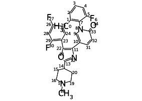 Cc1cccc(F)c1-n1cc(-c2nc(C3CCN(C)CC3)oc2-c2ccc(F)cc2F)ccc1=O